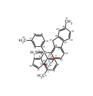 Cc1ccc[c]([Zr](=[SiH2])([C]2=CC=CC2)([c]2cccc(C)c2)[c]2c(C)ccc3c2Cc2cc(C)ccc2-3)c1